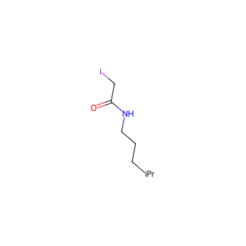 CC(C)CCCNC(=O)CI